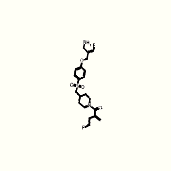 C=C(CCF)C(=O)N1CCC(CS(=O)(=O)c2ccc(OC/C(=C/F)CN)cc2)CC1